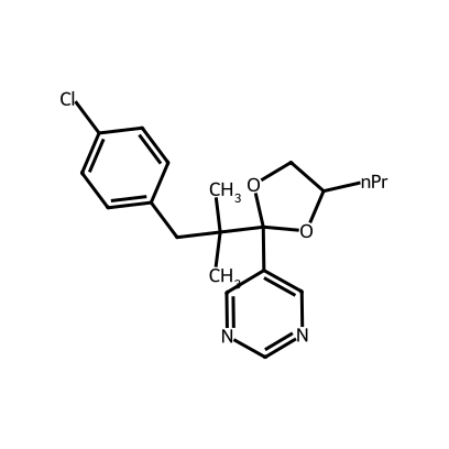 CCCC1COC(c2cncnc2)(C(C)(C)Cc2ccc(Cl)cc2)O1